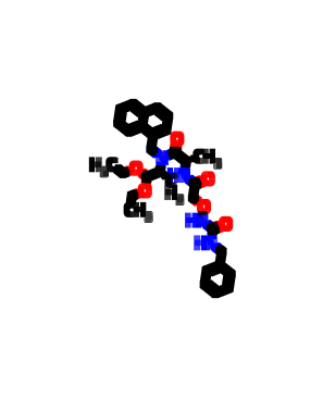 CCOC(OCC)[C@H](C)N(Cc1cccc2ccccc12)C(=O)[C@H](C)NC(=O)CONC(=O)NCc1ccccc1